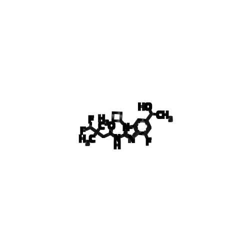 CC(O)c1cc(F)c2nc(NC(=O)CC(C)(C)C(F)F)n(C3CCC3)c2c1